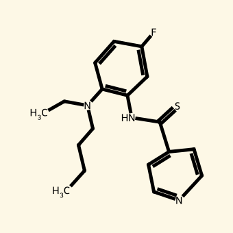 CCCCN(CC)c1ccc(F)cc1NC(=S)c1ccncc1